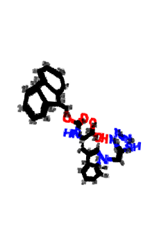 O=C(N[C@@H](Cc1cn(Cc2nnn[nH]2)c2ccccc12)C(=O)O)OCC1c2ccccc2-c2ccccc21